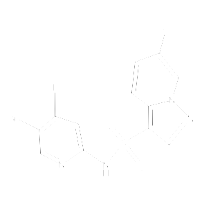 O=S(=O)(Nc1cc(F)c(Br)cn1)c1cnn2cc(Cl)ccc12